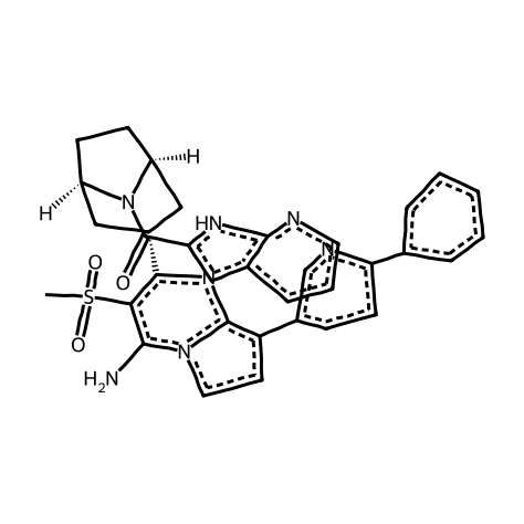 CS(=O)(=O)c1c([C@@H]2C[C@H]3CC[C@@H](C2)N3C(=O)c2cc3cccnc3[nH]2)nc2c(-c3ccc(-c4ccccc4)nc3)ccn2c1N